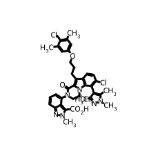 Cc1cc(OCCCc2c3n(c4c(-c5c(C)nn(C)c5C)c(Cl)ccc24)[C@H](C)CN(c2cccc4nn(C)c(C(=O)O)c24)C3=O)cc(C)c1Cl